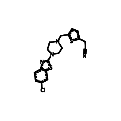 N#CCc1ccc(CN2CCN(c3nc4ccc(Cl)cc4s3)CC2)s1